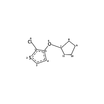 Clc1sccc1OC1CCCC1